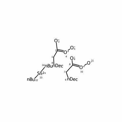 CCCCCCCCCCCC([O-])=[O+][O-].CCCCCCCCCCCC([O-])=[O+][O-].CCC[CH2][Sn+2][CH2]CCC